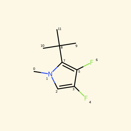 Cn1cc(F)c(F)c1C(C)(C)C